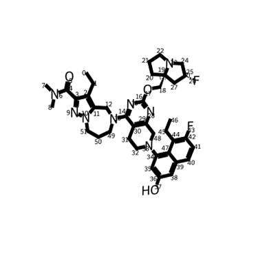 CCc1c(C(=O)N(C)C)nn2c1CN(c1nc(OC[C@@]34CCCN3C[C@H](F)C4)nc3c1CCN(c1cc(O)cc4ccc(F)c(CC)c14)C3)CCC2